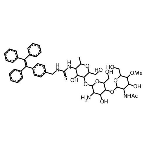 COC1C(CO)OC(OC2C(CO)OC(OC3C(CO)OC(C)C(NC(=S)NCc4ccc(C(=C(c5ccccc5)c5ccccc5)c5ccccc5)cc4)C3O)C(N)C2O)C(NC(C)=O)C1O